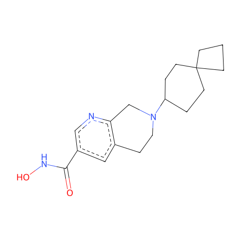 O=C(NO)c1cnc2c(c1)CCN(C1CCC3(CCC3)CC1)C2